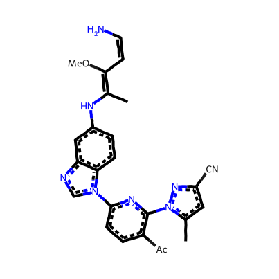 COC(/C=C\N)=C(/C)Nc1ccc2c(c1)ncn2-c1ccc(C(C)=O)c(-n2nc(C#N)cc2C)n1